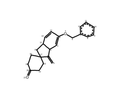 C=C1C2C=C(OCc3ccccc3)C=CC2CC12CCC(=O)CC2